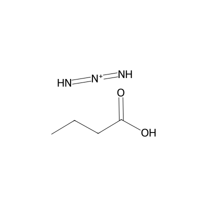 CCCC(=O)O.N=[N+]=N